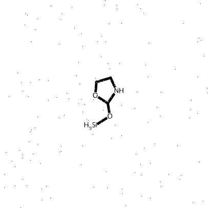 [SiH3]OC1NCCO1